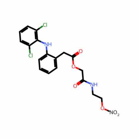 O=C(COC(=O)Cc1ccccc1Nc1c(Cl)cccc1Cl)NCCO[N+](=O)[O-]